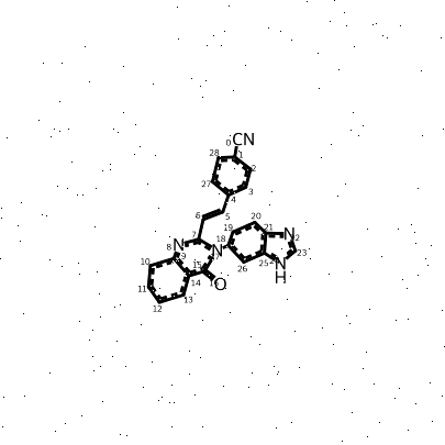 N#Cc1ccc(/C=C/c2nc3ccccc3c(=O)n2-c2ccc3nc[nH]c3c2)cc1